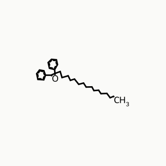 CCCCCCCCCCCCCCCCC1(c2ccccc2)OC1c1ccccc1